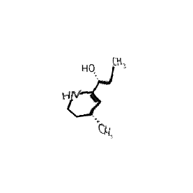 CC[C@@H](O)C1=C[C@H](C)CCN1